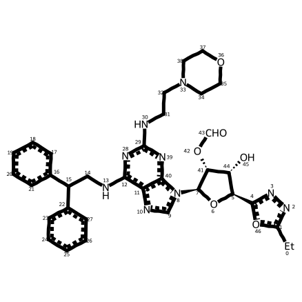 CCc1nnc([C@H]2O[C@@H](n3cnc4c(NCC(c5ccccc5)c5ccccc5)nc(NCCN5CCOCC5)nc43)[C@H](OC=O)[C@@H]2O)o1